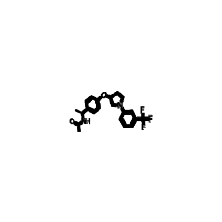 CC(=O)N[C@@H](C)c1ccc(OC2CCN(c3cccc(C(F)(F)F)c3)C2)cc1